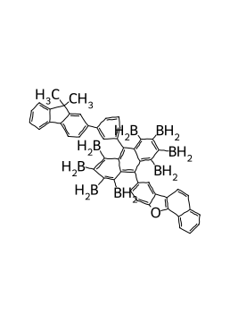 Bc1c(B)c(B)c2c(-c3ccc4oc5c6ccccc6ccc5c4c3)c3c(B)c(B)c(B)c(B)c3c(-c3cccc(-c4ccc5c(c4)C(C)(C)c4ccccc4-5)c3)c2c1B